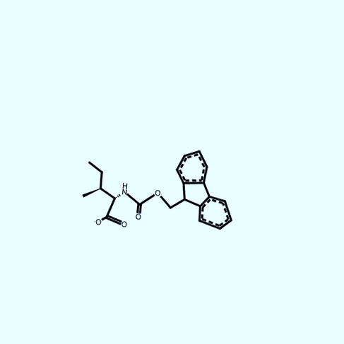 CC[C@H](C)[C@H](NC(=O)OCC1c2ccccc2-c2ccccc21)C([O])=O